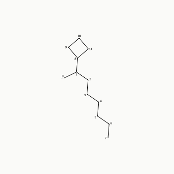 [CH2]C(CCCCCC)C1CCC1